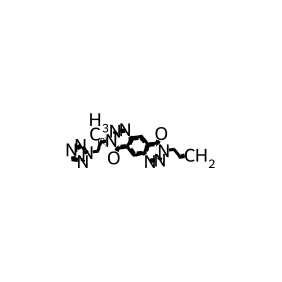 C=CCn1nnc2cc3c(=O)n([C@H](C)Cn4ncnn4)nnc3cc2c1=O